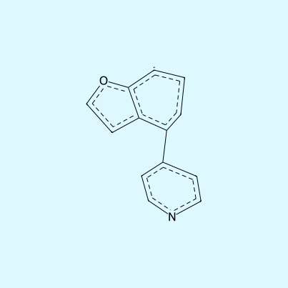 [c]1ccc(-c2ccncc2)c2ccoc12